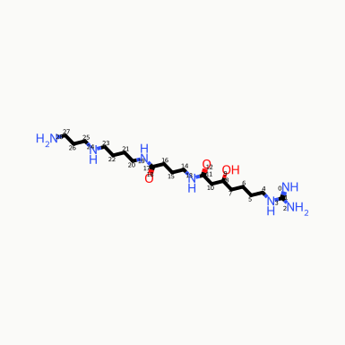 N=C(N)NCCCCC(O)CC(=O)NCCCC(=O)NCCCCNCCCN